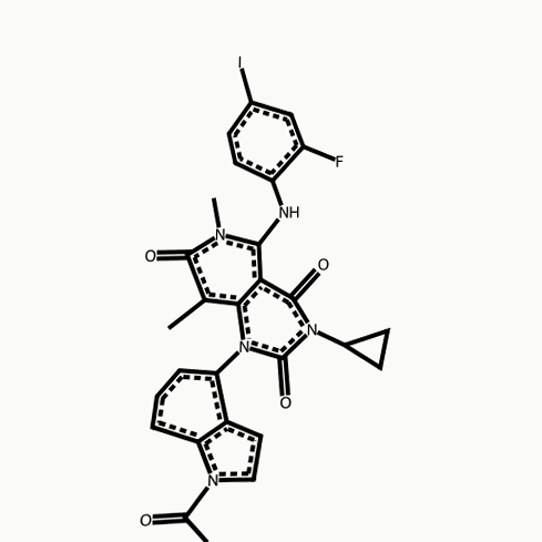 CC(=O)n1ccc2c(-n3c(=O)n(C4CC4)c(=O)c4c(Nc5ccc(I)cc5F)n(C)c(=O)c(C)c43)cccc21